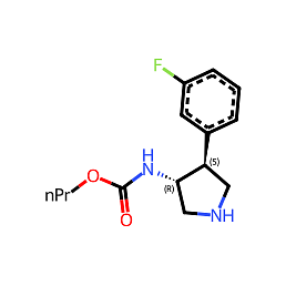 CCCOC(=O)N[C@H]1CNC[C@@H]1c1cccc(F)c1